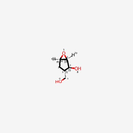 OC[C@@H]1C[C@H]2O[C@H]2[C@H]1O